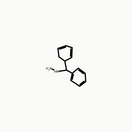 NNC(c1ccccc1)C1C=CC=CC1